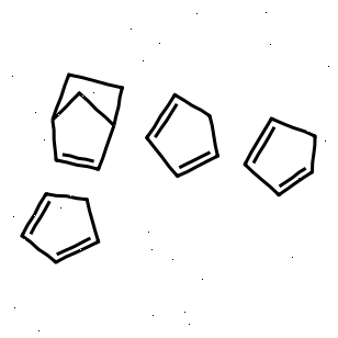 C1=CC2CCC1C2.C1=CCC=C1.C1=CCC=C1.C1=CCC=C1